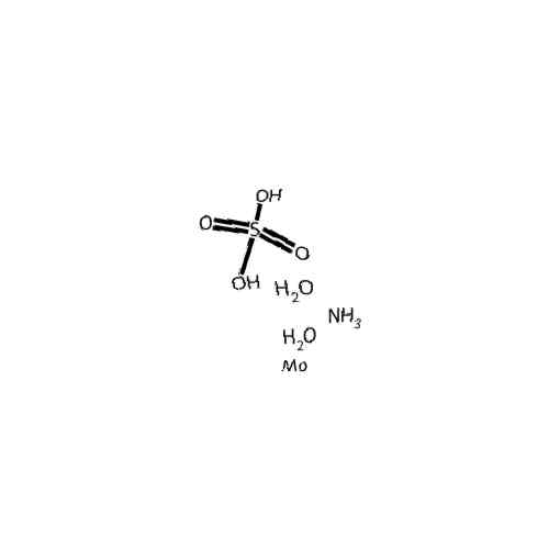 N.O.O.O=S(=O)(O)O.[Mo]